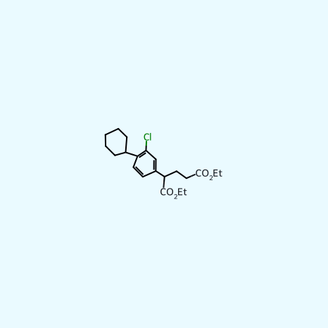 CCOC(=O)CCC(C(=O)OCC)c1ccc(C2CCCCC2)c(Cl)c1